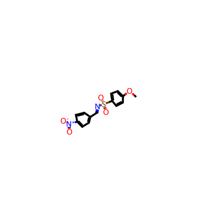 COc1ccc(S(=O)(=O)N=Cc2ccc([N+](=O)[O-])cc2)cc1